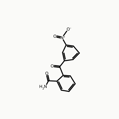 NC(=O)c1ccccc1C(=O)c1cccc([N+](=O)[O-])c1